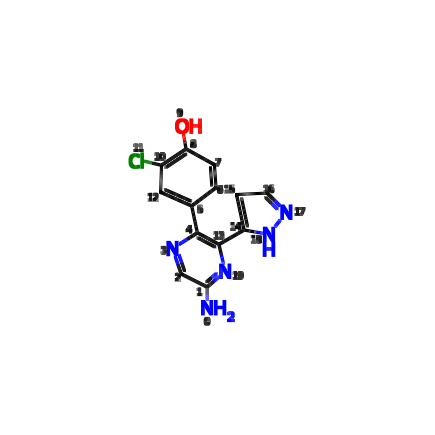 Nc1cnc(-c2ccc(O)c(Cl)c2)c(-c2ccn[nH]2)n1